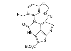 CCOC(=O)c1sc2ncc(C#N)c3c2c1NC(=O)N3c1c(CI)ccc2c1OCO2